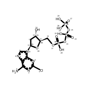 Nc1nc(Cl)nc2c1ncn2[C@H]1C[C@H](O)[C@@H](COP(=O)(O)OP(=O)(O)OP(=O)(O)O)O1